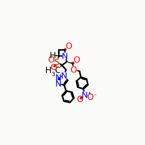 C[C@]1(Cn2cc(-c3ccccc3)nn2)[C@H](C(=O)OCc2ccc([N+](=O)[O-])cc2)N2C(=O)C[C@H]2S1(=O)=O